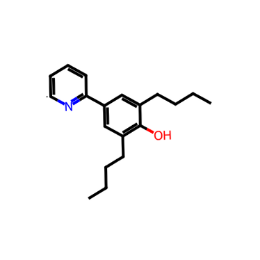 CCCCc1cc(-c2ccc[c]n2)cc(CCCC)c1O